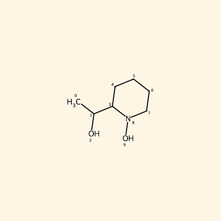 CC(O)C1CCCCN1O